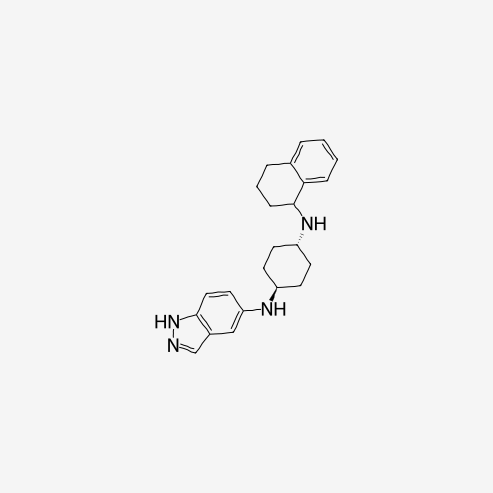 c1ccc2c(c1)CCCC2N[C@H]1CC[C@H](Nc2ccc3[nH]ncc3c2)CC1